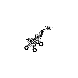 CC(C)O[C@H]1OC(COC(=O)NC(C)(C)COC(C)(C)CCN=[N+]=[N-])[C@H](OCc2ccccc2)C(OCc2ccccc2)C1OCc1ccccc1